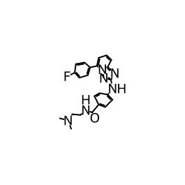 CN(C)CCNC(=O)c1ccc(Nc2nc3cccc(-c4ccc(F)cc4)n3n2)cc1